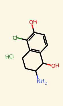 Cl.NC1CCc2c(ccc(O)c2Cl)C1O